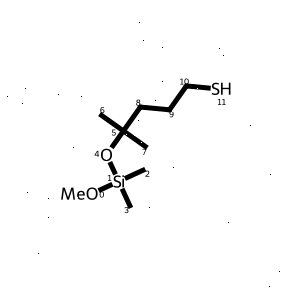 CO[Si](C)(C)OC(C)(C)CCCS